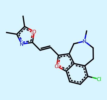 Cc1nc(/C=C/c2oc3ccc(Cl)c4c3c2CN(C)CC4)oc1C